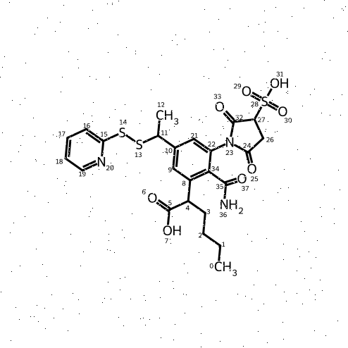 CCCCC(C(=O)O)c1cc(C(C)SSc2ccccn2)cc(N2C(=O)CC(S(=O)(=O)O)C2=O)c1C(N)=O